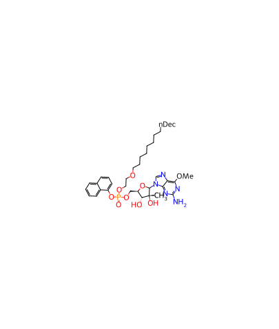 CCCCCCCCCCCCCCCCCCOCCOP(=O)(OC[C@H]1OC(n2cnc3c(OC)nc(N)nc32)[C@](C)(O)[C@@H]1O)Oc1cccc2ccccc12